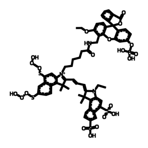 CCOc1ccc2c(c1CNC(=O)CCCCC[N+]1=C(/C=C/C=C3/N(CC)c4cc(S(=O)(=O)O)c5cc(S(=O)(=O)O)ccc5c4C3(C)C)C(C)(C)c3c1cc(SOOO)c1cc(SOOO)ccc31)Oc1cc(OP(=O)(O)O)ccc1C21OC(=O)c2ccccc21